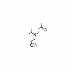 CC(=O)CCN(CCO)C(C)C